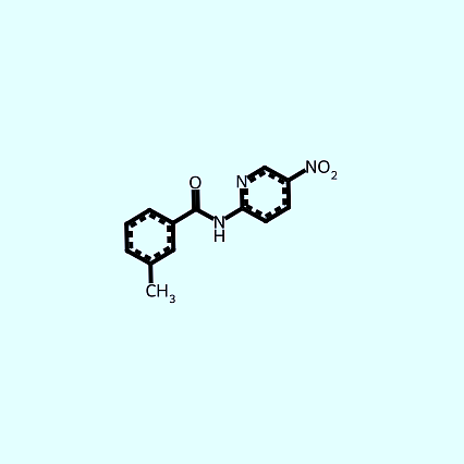 Cc1cccc(C(=O)Nc2ccc([N+](=O)[O-])cn2)c1